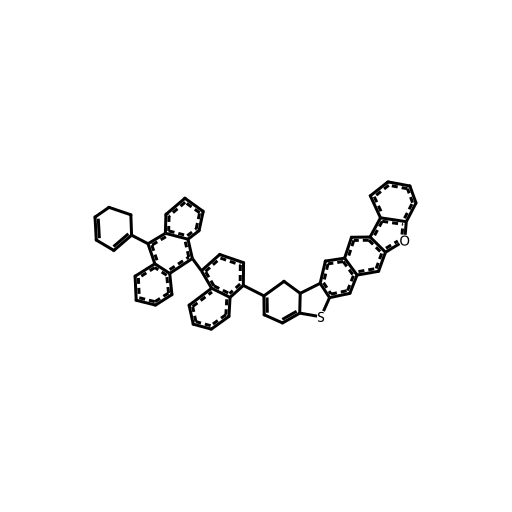 C1=CCCC(c2c3ccccc3c(-c3ccc(C4=CC=C5Sc6cc7cc8oc9ccccc9c8cc7cc6C5C4)c4ccccc34)c3ccccc23)=C1